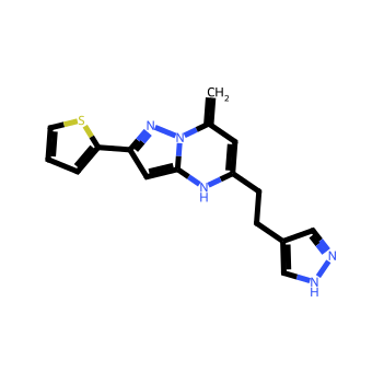 C=C1C=C(CCc2cn[nH]c2)Nc2cc(-c3cccs3)nn21